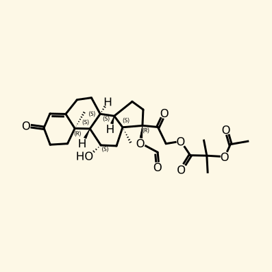 CC(=O)OC(C)(C)C(=O)OCC(=O)[C@@]1(OC=O)CC[C@H]2[C@@H]3CCC4=CC(=O)CC[C@]4(C)[C@H]3[C@@H](O)C[C@@]21C